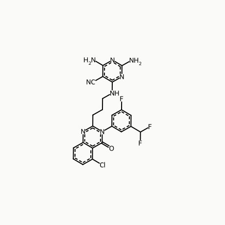 N#Cc1c(N)nc(N)nc1NCCCc1nc2cccc(Cl)c2c(=O)n1-c1cc(F)cc(C(F)F)c1